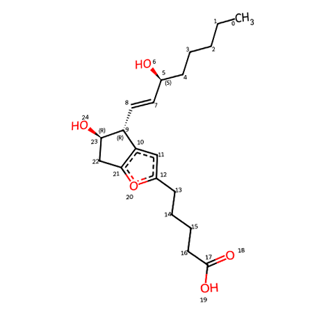 CCCCC[C@H](O)C=C[C@@H]1c2cc(CCCCC(=O)O)oc2C[C@H]1O